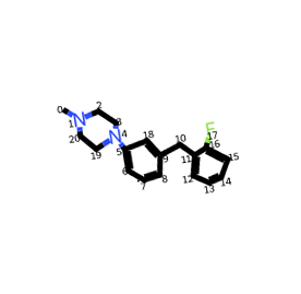 CN1CCN(c2c[c]cc(Cc3ccccc3F)c2)CC1